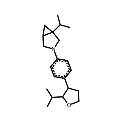 CC(C)C1OCCC1c1ccc(N2CC3CC3(C(C)C)C2)cc1